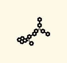 c1ccc(-c2ccc(N(c3ccc(-c4ccccc4)cc3)c3ccc4cc(-c5ccc6c7c8ccc9cccc%10ccc(cc7n(-c7ccccc7)c6c5)c8c%109)ccc4c3)cc2)cc1